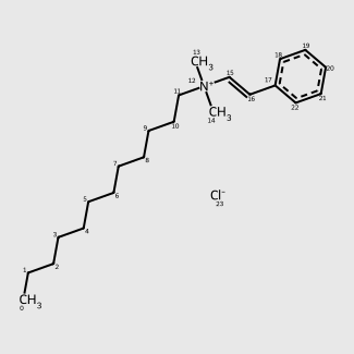 CCCCCCCCCCCC[N+](C)(C)C=Cc1ccccc1.[Cl-]